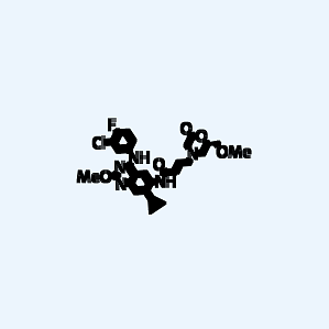 COC[C@H]1CN(CC=CC(=O)Nc2cc3c(Nc4ccc(F)c(Cl)c4)nc(OC)nc3cc2C2CC2)CC(=O)O1